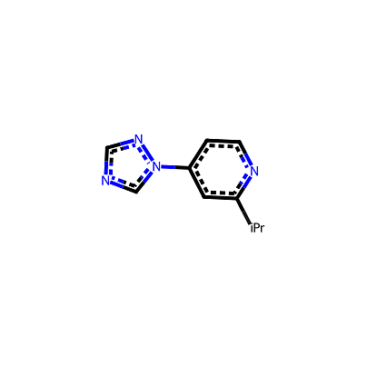 CC(C)c1cc(-n2cncn2)ccn1